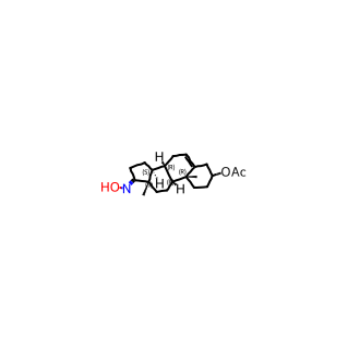 CC(=O)OC1CC[C@@]2(C)C(=CC[C@@H]3[C@H]2CC[C@]2(C)C(=NO)CC[C@@H]32)C1